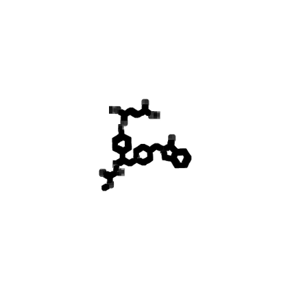 COC(=O)N/N=C(\CN1CCC(CN2Cc3ccccc3C2=O)CC1)c1ccc(F)cc1.O=C(O)/C=C/C(=O)O